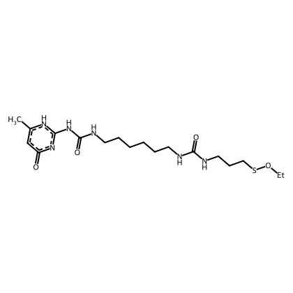 CCOSCCCNC(=O)NCCCCCCNC(=O)Nc1nc(=O)cc(C)[nH]1